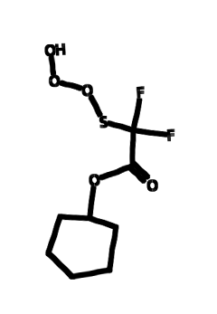 O=C(OC1CCCCC1)C(F)(F)SOOO